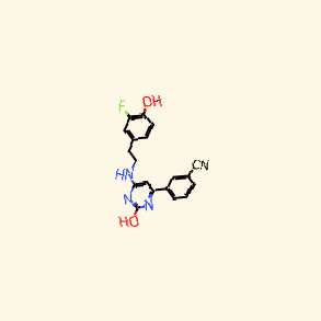 N#Cc1cccc(-c2cc(NCCc3ccc(O)c(F)c3)nc(O)n2)c1